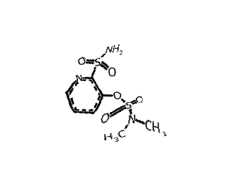 CN(C)S(=O)(=O)Oc1cccnc1S(N)(=O)=O